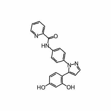 O=C(Nc1ccc(-n2nccc2-c2ccc(O)cc2O)cc1)c1ccccn1